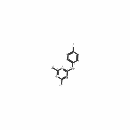 Fc1ccc(Nc2nc(Cl)nc(Cl)n2)cc1